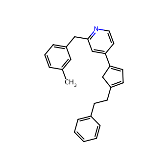 Cc1cccc(Cc2cc(C3=CC=C(CCc4ccccc4)C3)ccn2)c1